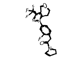 O=C(Cc1ccc(-n2nc(C(F)(F)F)c3c2CCOC3)cc1F)N1CCCC1